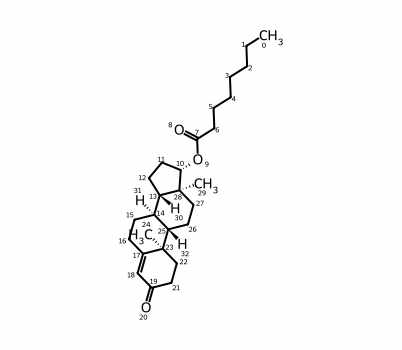 CCCCCCCC(=O)O[C@H]1CC[C@H]2[C@@H]3CCC4=CC(=O)CC[C@]4(C)[C@H]3CC[C@]12C